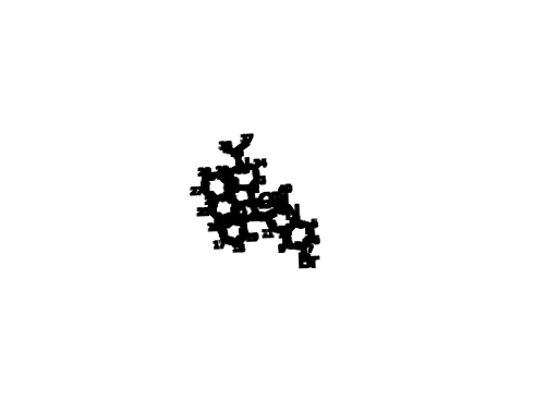 COc1nc2ccc(Br)cc2cc1C(c1ccccc1)C(O)(c1cccc2ccccc12)C1CCN(C(C)C)CC1